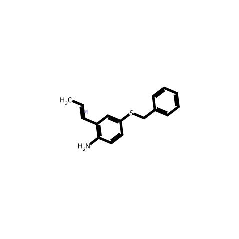 C/C=C/c1cc(SCc2ccccc2)ccc1N